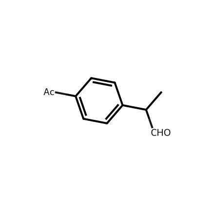 CC(=O)c1ccc(C(C)C=O)cc1